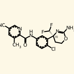 Cc1cc(C#N)cnc1C(=O)Nc1ccc(Cl)c([C@]2(C(F)F)CCOC(N)=N2)c1